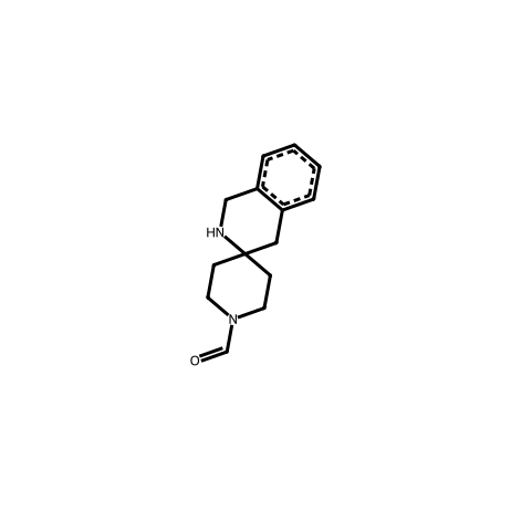 O=CN1CCC2(CC1)Cc1ccccc1CN2